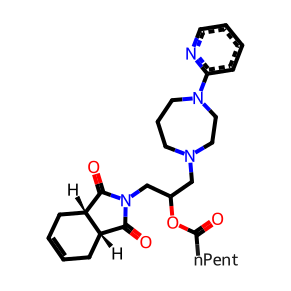 CCCCCC(=O)OC(CN1CCCN(c2ccccn2)CC1)CN1C(=O)[C@H]2CC=CC[C@H]2C1=O